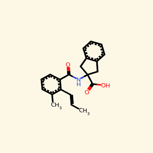 C/C=C/c1c(C)cccc1C(=O)NC1(C(=O)O)Cc2ccccc2C1